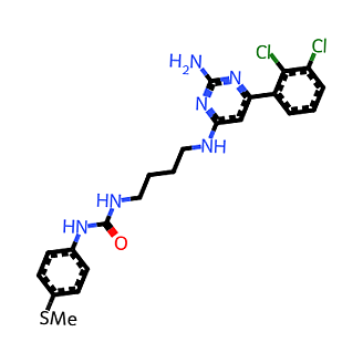 CSc1ccc(NC(=O)NCCCCNc2cc(-c3cccc(Cl)c3Cl)nc(N)n2)cc1